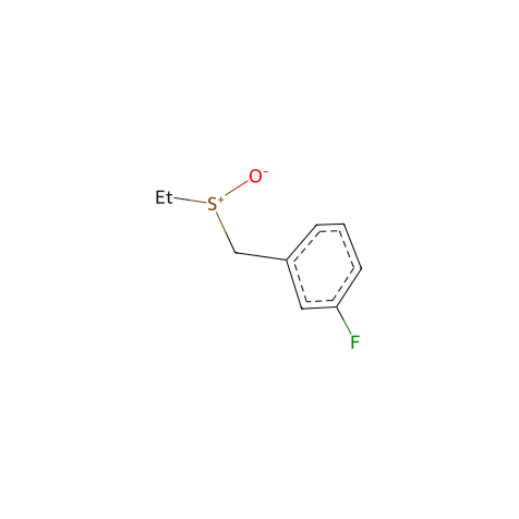 CC[S+]([O-])Cc1cccc(F)c1